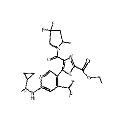 CCOC(=O)c1nc(C(=O)N2CC(F)(F)CC2C)c(-c2cnc(N[C@@H](C)C3CC3)cc2C(F)F)s1